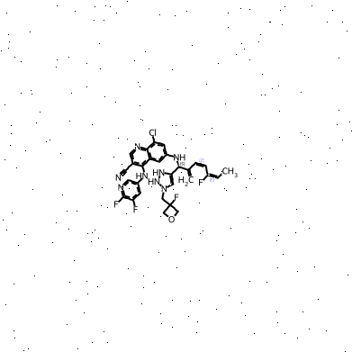 C=C(/C=C\C(F)=C/C)[C@H](Nc1cc(Cl)c2ncc(C#N)c(Nc3cnc(F)c(F)c3)c2c1)C1=CN(CC2(F)COC2)NN1